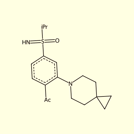 CC(=O)c1ccc(S(=N)(=O)C(C)C)cc1N1CCC2(CC1)CC2